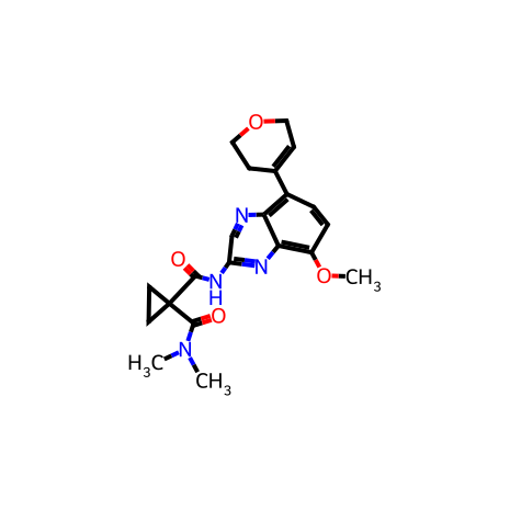 COc1ccc(C2=CCOCC2)c2ncc(NC(=O)C3(C(=O)N(C)C)CC3)nc12